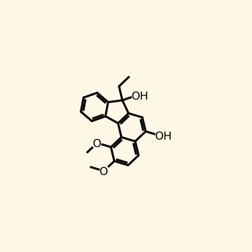 CCC1(O)c2ccccc2-c2c1cc(O)c1ccc(OC)c(OC)c21